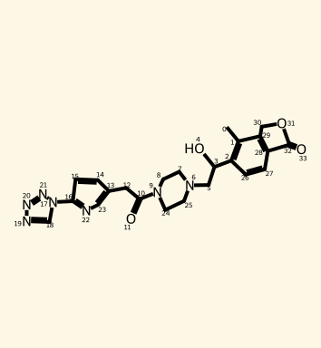 Cc1c(C(O)CN2CCN(C(=O)Cc3ccc(-n4cnnn4)nc3)CC2)ccc2c1COC2=O